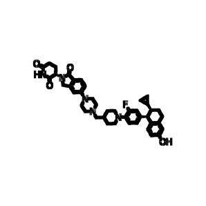 O=C1CC[C@H](N2Cc3cc(N4CCN(CC5CCN(c6ccc([C@@H]7c8ccc(O)cc8CC[C@@H]7C7CC7)cc6F)CC5)CC4)ccc3C2=O)C(=O)N1